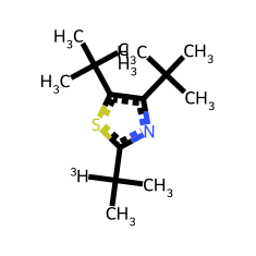 [3H]C(C)(C)c1nc(C(C)(C)C)c(C(C)(C)C)s1